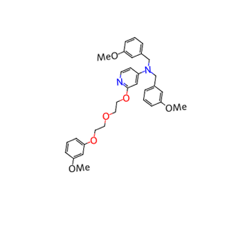 COc1cccc(CN(Cc2cccc(OC)c2)c2ccnc(OCCOCCOc3cccc(OC)c3)c2)c1